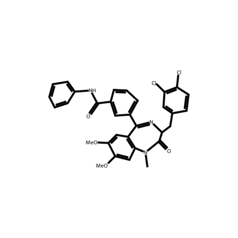 COc1cc2c(cc1OC)N(C)C(=O)C(Cc1ccc(Cl)c(Cl)c1)N=C2c1cccc(C(=O)Nc2ccccc2)c1